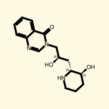 O=c1c2ccccc2ncn1C[C@H](O)C[C@H]1NCCC[C@@H]1O